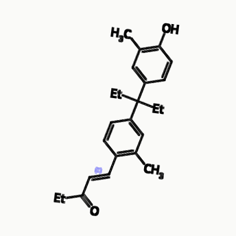 CCC(=O)/C=C/c1ccc(C(CC)(CC)c2ccc(O)c(C)c2)cc1C